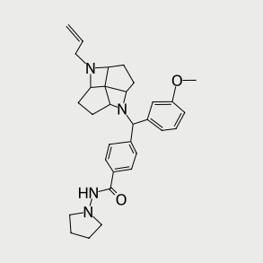 C=CCN1C2CCC3N(C(c4ccc(C(=O)NN5CCCC5)cc4)c4cccc(OC)c4)C4CCC1C234